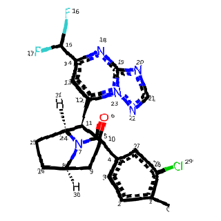 Cc1ccc(C(=O)N2[C@H]3CC[C@H](c4cc(C(F)F)nc5ncnn45)[C@@H]2CC3)cc1Cl